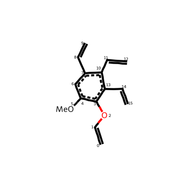 C=COc1c(OC)cc(C=C)c(C=C)c1C=C